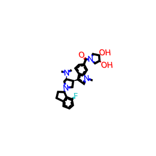 CN(C)[C@H]1CN(C2CCc3cccc(F)c32)C[C@@H]1c1cn(C)c2cc(C(=O)N3C[C@H](O)[C@@H](O)C3)ccc12